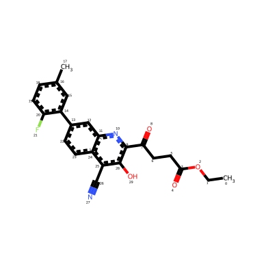 CCOC(=O)CCC(=O)c1nc2cc(-c3cc(C)ccc3F)ccc2c(C#N)c1O